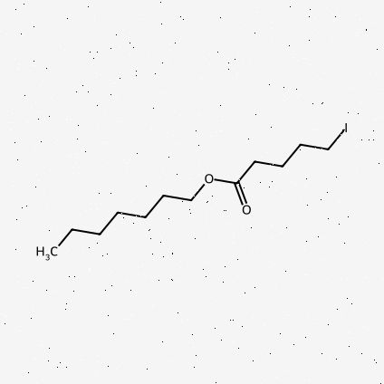 CCCCCCCOC(=O)CCCCI